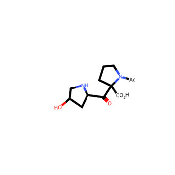 CC(=O)N1CCCC1(C(=O)O)C(=O)C1CC(O)CN1